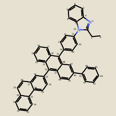 CCc1nc2ccccc2n1-c1ccc(-c2c3ccccc3c(-c3ccc4c(ccc5ccccc54)c3)c3ccc(-c4ccccc4)cc23)cc1